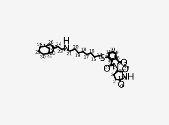 O=C1CCC(N2C(=O)c3cccc(SCCCCCCCCNCCC4CC5CCCC(C5)C4)c3C2=O)C(=O)N1